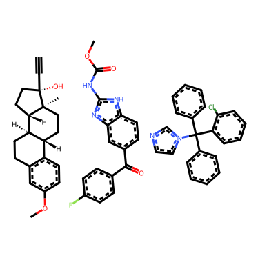 C#C[C@]1(O)CC[C@H]2[C@@H]3CCc4cc(OC)ccc4[C@H]3CC[C@@]21C.COC(=O)Nc1nc2cc(C(=O)c3ccc(F)cc3)ccc2[nH]1.Clc1ccccc1C(c1ccccc1)(c1ccccc1)n1ccnc1